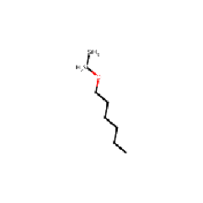 CCCCCCO[SiH2][SiH3]